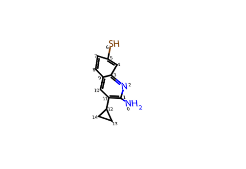 Nc1nc2cc(S)ccc2cc1C1CC1